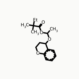 CCC(C)(C)C(=O)OC(C)OC1CCOc2ccccc21